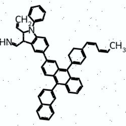 C=CC1C(C=N)c2cc(-c3ccc4c(-c5ccc6ccccc6c5)c5ccccc5c(C5=CC=C(/C=C\C=C/C)CC5)c4c3)ccc2N1c1ccccc1